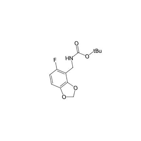 CC(C)(C)OC(=O)NCc1c(F)ccc2c1OCO2